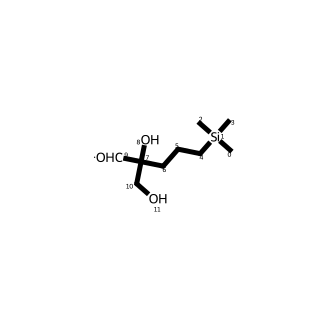 C[Si](C)(C)CCCC(O)([C]=O)CO